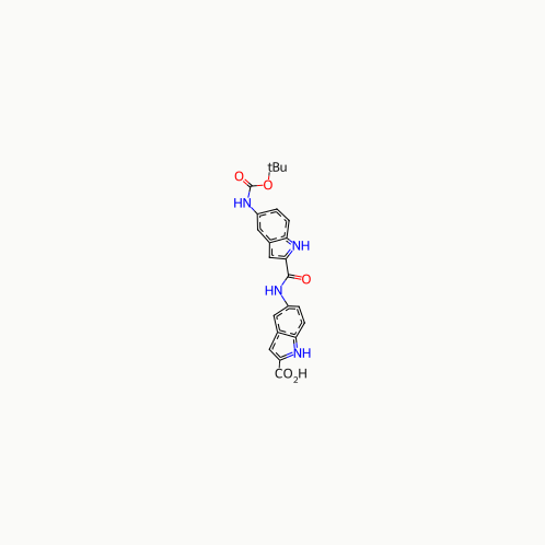 CC(C)(C)OC(=O)Nc1ccc2[nH]c(C(=O)Nc3ccc4[nH]c(C(=O)O)cc4c3)cc2c1